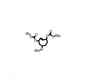 CC(C)(C)OC(=O)OC1/C=C/C(OC(=O)SC(C)(C)C)CCC(OC(C)(C)C)C1